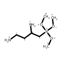 CO[Si](CC(N)CCN)(OC)OC